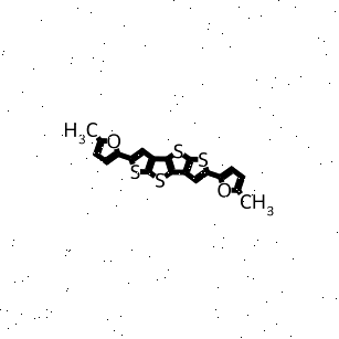 Cc1ccc(-c2cc3c(s2)sc2c4cc(-c5ccc(C)o5)sc4sc32)o1